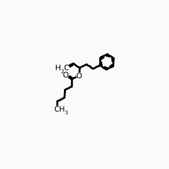 C=CC(CCc1ccccc1)OC(=O)CCCCC